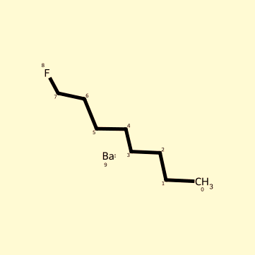 CCCCCCCCF.[Ba]